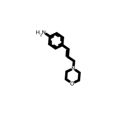 Nc1ccc(C=CCN2CCOCC2)cc1